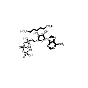 Nc1ncnc2c1ncn2[C@@H]1O[C@H](COP(=O)(O)OP(=O)(O)OP(=O)(O)O)[C@@H](O)[C@H]1O.O=C(O)CCCCCC(=O)O